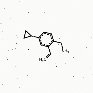 C=[C]c1cc(C2CC2)ccc1CC